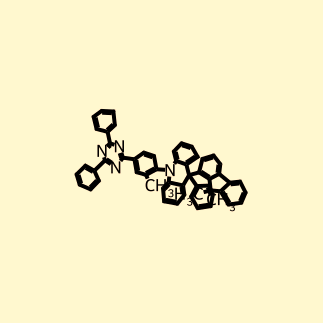 Cc1cc(-c2nc(-c3ccccc3)nc(-c3ccccc3)n2)ccc1N1c2ccccc2C(c2ccccc2)(c2cccc3c2C(C)(C)c2ccccc2-3)c2ccccc21